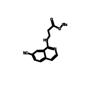 CC(C)(C)OC(=O)CCNc1nccc2ccc(C#N)cc12